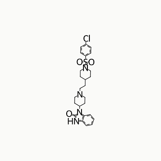 O=c1[nH]c2ccccc2n1C1CCN(CCC2CCN(S(=O)(=O)c3ccc(Cl)cc3)CC2)CC1